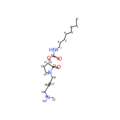 CCCCCCCCNC(=O)O[C@H]1CCN(CC#CCN(C)C)C1=O